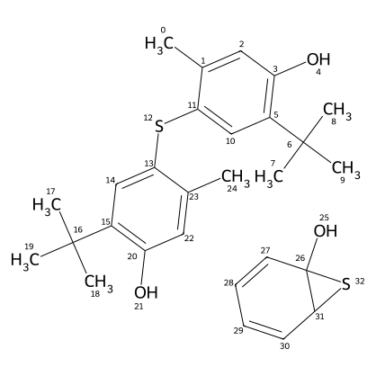 Cc1cc(O)c(C(C)(C)C)cc1Sc1cc(C(C)(C)C)c(O)cc1C.OC12C=CC=CC1S2